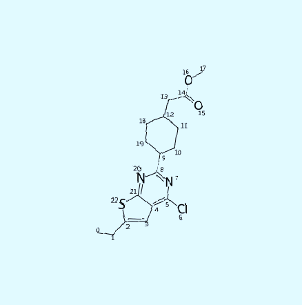 CCc1cc2c(Cl)nc(C3CCC(CC(=O)OC)CC3)nc2s1